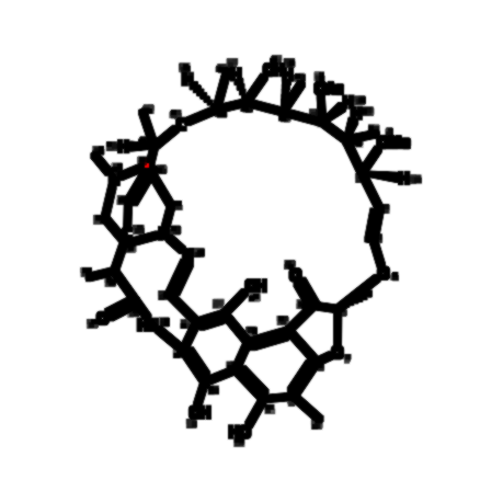 CO[C@@H]1/C=C/O[C@@]2(C)Oc3c(C)c(O)c4c(O)c(c(/C=N/N5CCN(C)CC5)c(O)c4c3C2=O)NC(=O)C(C)C/C=C/[C@H](C)C[C@@H](C)[C@@H](O)[C@@H](C)[C@H](OC(C)=O)[C@@H]1C